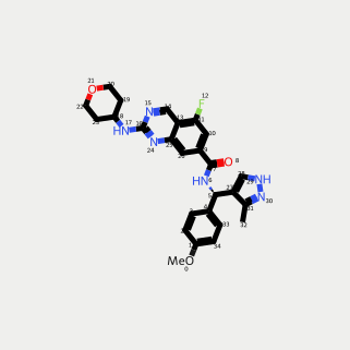 COc1ccc([C@H](NC(=O)c2cc(F)c3cnc(NC4CCOCC4)nc3c2)c2c[nH]nc2C)cc1